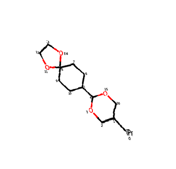 CC(C)C1COC(C2CCC3(CC2)OCCO3)OC1